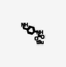 CC(C)(C)OC(=O)Nc1ccc(CN)cc1